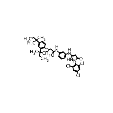 CCC(C)(C)c1ccc(OCC(=O)Nc2cccc(Nc3cc(=O)n(-c4c(Cl)cc(Cl)cc4Cl)[nH]3)c2)c(C(C)(C)CC)c1